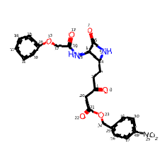 O=C(CCC1NC(=O)C1NC(=O)COc1ccccc1)CC(=O)OCc1ccc([N+](=O)[O-])cc1